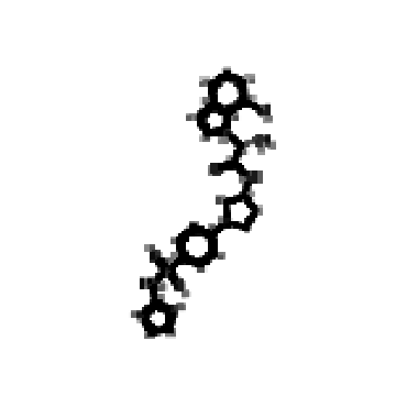 C[C@H](C(=O)N[C@H]1CCN(c2ccc(S(=O)(=O)Nc3nccs3)cc2)C1)n1ccc2cccc(Cl)c21